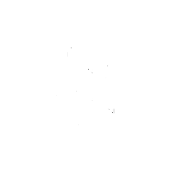 CCC(N)(CC)CO.CCNCC